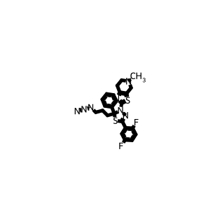 CN1CCc2nc(N3N=C(c4cc(F)ccc4F)SC3(CCCN=[N+]=[N-])c3ccccc3)sc2C1